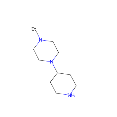 CCN1CCN(C2CCNCC2)CC1